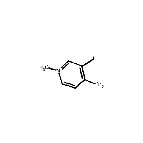 Cc1cc[n+](C)cc1I